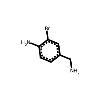 NCc1ccc(N)c(Br)c1